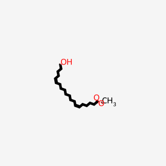 COC(=O)CCCC/C=C\CCCCCCC/C=C\CCCCO